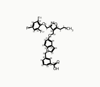 CCCc1onc(COc2c(F)cc(F)cc2F)c1COc1ccc2c(ccn2Cc2cccc(C(=O)O)c2)c1